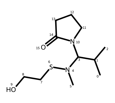 CC(C)C(N(C)SCCO)N1CCCC1=O